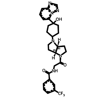 O=C(NCC(=O)N1CC[C@@H]2[C@H]1CCN2C1CCC(O)(c2cccc3ncnn23)CC1)c1cccc(C(F)(F)F)c1